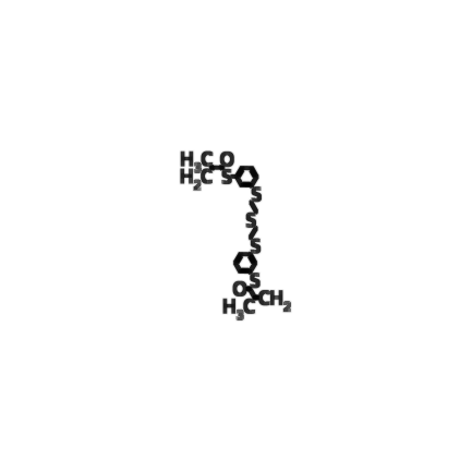 C=C(C)C(=O)Sc1cccc(SCCSCCSc2cccc(SC(=O)C(=C)C)c2)c1